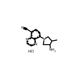 CC1CN(c2ccc(C#N)c3nccnc23)CC1N.Cl